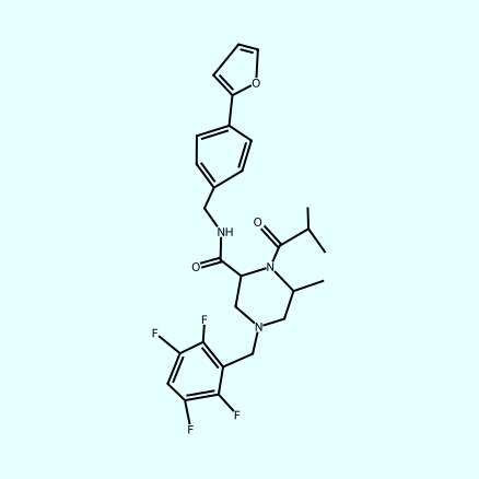 CC(C)C(=O)N1C(C)CN(Cc2c(F)c(F)cc(F)c2F)CC1C(=O)NCc1ccc(-c2ccco2)cc1